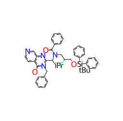 CC(C)C(c1nc2cnccc2c(=O)n1Cc1ccccc1)N(CC(F)CO[Si](c1ccccc1)(c1ccccc1)C(C)(C)C)C(=O)c1ccccc1